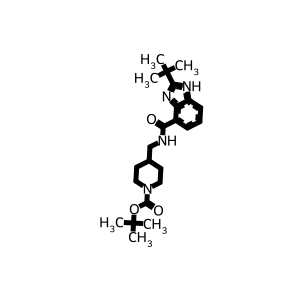 CC(C)(C)OC(=O)N1CCC(CNC(=O)c2cccc3[nH]c(C(C)(C)C)nc23)CC1